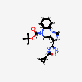 CC(C)(C)OC(=O)N1Cc2c(-c3noc(C4CC4)n3)ncn2-c2ccccc21